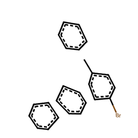 Cc1ccc(Br)cc1.c1ccccc1.c1ccccc1.c1ccccc1